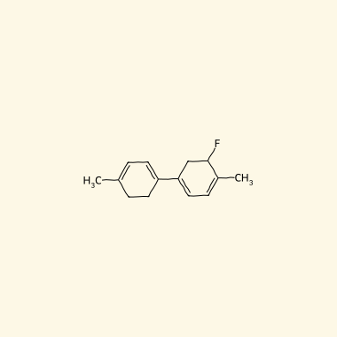 CC1=CC=C(C2=CC=C(C)C(F)C2)CC1